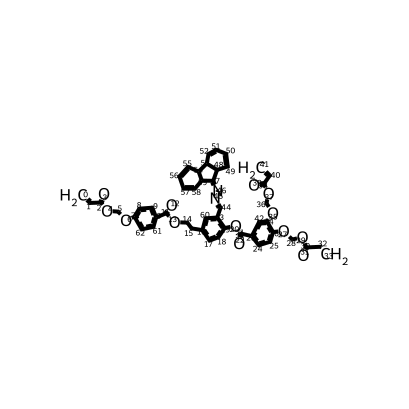 C=CC(=O)OCOc1ccc(C(=O)OCCc2ccc(OC(=O)c3ccc(OCOC(=O)C=C)c(OCOC(=O)C=C)c3)c(/C=N/N=C3C4C=CC=CC4C4C=CC=CC34)c2)cc1